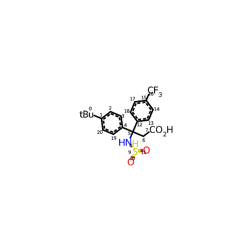 CC(C)(C)c1ccc(C(CC(=O)O)(N[SH](=O)=O)c2ccc(C(F)(F)F)cc2)cc1